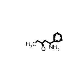 CCC(=O)CC(N)c1ccccc1